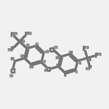 FC(F)(F)c1ccc(Oc2ccc(C(F)(F)F)c(CCl)c2)c(Cl)c1